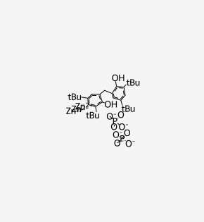 CC(C)(C)c1cc(Cc2cc(C(C)(C)C)cc(C(C)(C)C)c2O)c(O)c(C(C)(C)C)c1.O=P([O-])([O-])[O-].O=P([O-])([O-])[O-].[Zn+2].[Zn+2].[Zn+2]